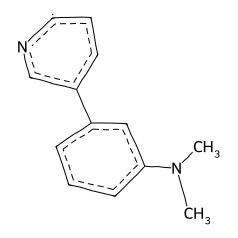 CN(C)c1cccc(-c2cc[c]nc2)c1